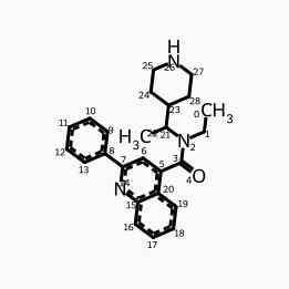 CCN(C(=O)c1cc(-c2ccccc2)nc2ccccc12)C(C)C1CCNCC1